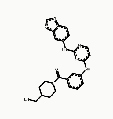 NCC1CCN(C(=O)c2cccc(Nc3ccnc(Nc4ccc5ncsc5c4)n3)c2)CC1